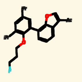 CC(=O)c1coc2c(-c3cc(C(C)C)cc(C(C)C)c3OCCCF)cccc12